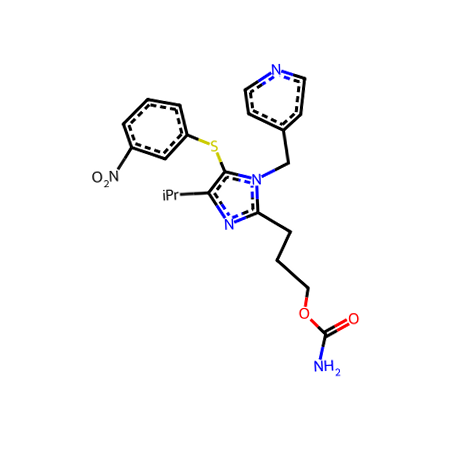 CC(C)c1nc(CCCOC(N)=O)n(Cc2ccncc2)c1Sc1cccc([N+](=O)[O-])c1